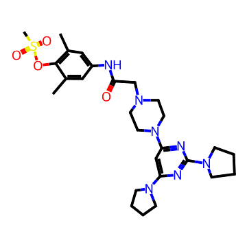 Cc1cc(NC(=O)CN2CCN(c3cc(N4CCCC4)nc(N4CCCC4)n3)CC2)cc(C)c1OS(C)(=O)=O